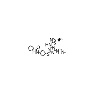 CC(C)c1cnc(Nc2nc(Sc3ccc(NC(=O)c4ccccc4)cc3)nc(N3CCN(C)CC3)n2)s1